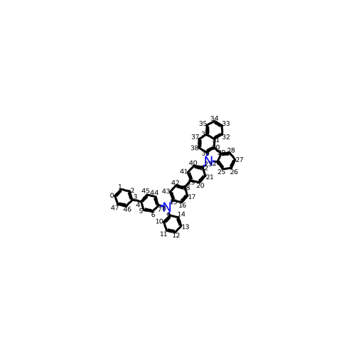 c1ccc(-c2ccc(N(c3ccccc3)c3ccc(-c4ccc(-n5c6ccccc6c6c7ccccc7ccc65)cc4)cc3)cc2)cc1